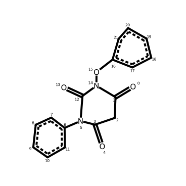 O=C1CC(=O)N(c2ccccc2)C(=O)N1Oc1ccccc1